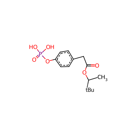 CC(OC(=O)Cc1ccc(OP(=O)(O)O)cc1)C(C)(C)C